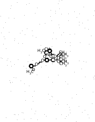 COc1ccccc1COCCCOc1ccc(C2CCN(C(=O)OC(C)(C)C)CC2OC(COCC[Si](C)(C)C)c2cccc3c2NC(=O)CC3(C)C)cc1